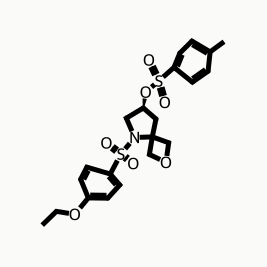 CCOc1ccc(S(=O)(=O)N2C[C@@H](OS(=O)(=O)c3ccc(C)cc3)CC23COC3)cc1